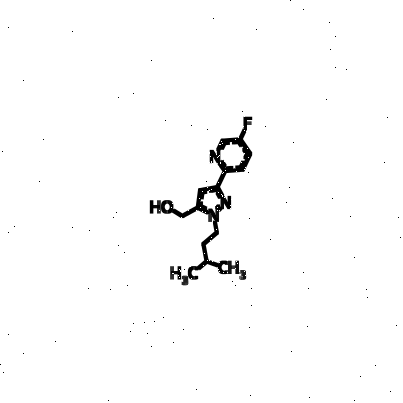 CC(C)CCn1nc(-c2ccc(F)cn2)cc1CO